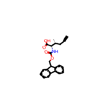 C#CC[C@@H](C)[C@H](NC(=O)OCC1c2ccccc2-c2ccccc21)C(=O)O